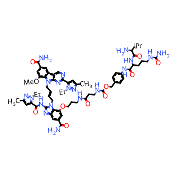 CCn1nc(C)cc1C(=O)Nc1nc2cc(C(N)=O)cc(OCCCNC(=O)CCNC(=O)OCc3ccc(NC(=O)C(CCCNC(N)=O)NC(=O)C(N)C(C)C)cc3)c2n1C/C=C/Cn1c2nc(-c3cc(C)nn3CC)ncc2c2cc(C(N)=O)cc(OC)c21